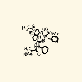 CN[C@@H](C)C(=O)N[C@H](C(=O)N1CC[C@@H]2[C@H]1[C@@H](C(=O)N[C@@H](Cc1ccccc1)C(=O)OC)CN2S(C)(=O)=O)C1CCCCC1